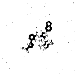 CC1=NN(c2ccc3c(c2)CCC3)C(=O)/C1=N\Nc1cccc(-c2ccc(C(=O)O)o2)c1O.NCCO.NCCO